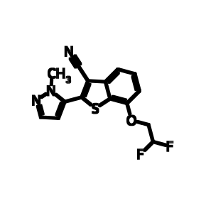 Cn1nccc1-c1sc2c(OCC(F)F)cccc2c1C#N